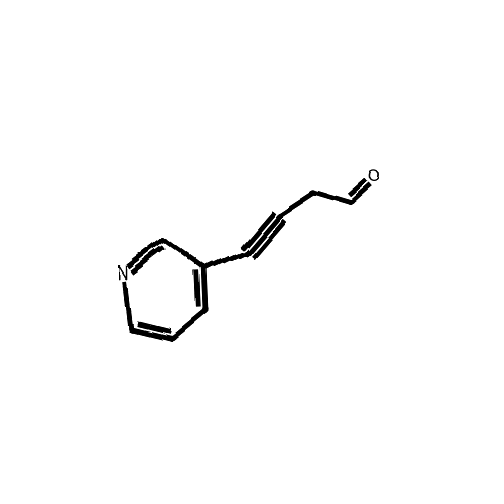 O=CCC#Cc1cccnc1